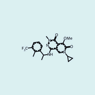 COc1c(=O)n(C2CC2)cc2c(NC(C)c3cccc(C(F)(F)F)c3C)nn(C)c(=O)c12